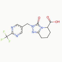 O=C(O)C1CCCc2nn(Cc3cnc(C(F)(F)F)nc3)c(=O)n21